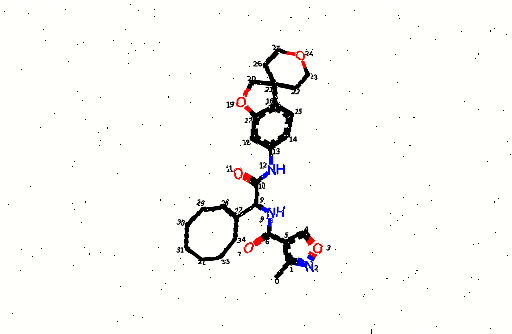 Cc1nocc1C(=O)NC(C(=O)Nc1ccc2c(c1)OCC21CCOCC1)C1CCCCCCC1